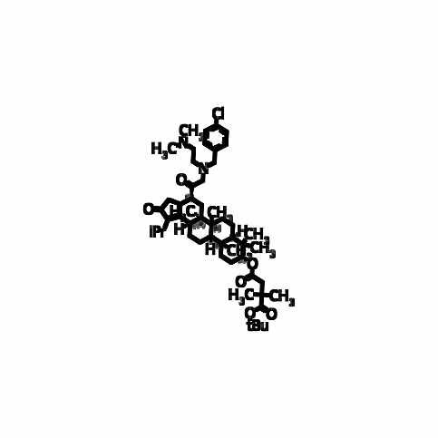 CC(C)C1=C2C(CC1=O)[C@@H](C(=O)CN(CCN(C)C)Cc1ccc(Cl)cc1)C[C@]1(C)[C@@H]2CC[C@@H]2[C@@]3(C)CC[C@H](OC(=O)CC(C)(C)C(=O)OC(C)(C)C)C(C)(C)[C@@H]3CC[C@]21C